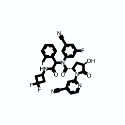 N#Cc1cc(F)cc(N(C(=O)[C@@H]2C[C@@H](O)C(=O)N2c2cc(C#N)ccn2)C(C(=O)NC2CC(F)(F)C2)c2ccccc2I)c1